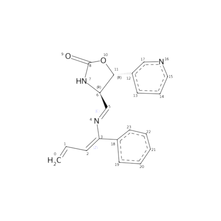 C=C/C=C(\N=C\[C@H]1NC(=O)O[C@@H]1c1cccnc1)c1ccccc1